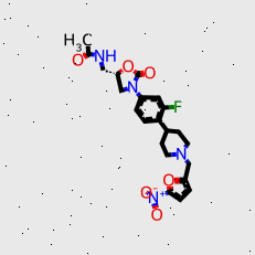 CC(=O)NC[C@H]1CN(c2ccc(C3CCN(Cc4ccc([N+](=O)[O-])o4)CC3)c(F)c2)C(=O)O1